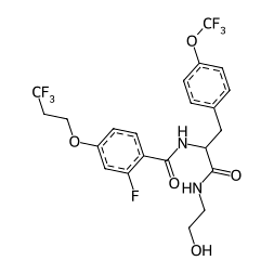 O=C(NC(Cc1ccc(OC(F)(F)F)cc1)C(=O)NCCO)c1ccc(OCCC(F)(F)F)cc1F